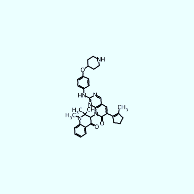 CC1=C(c2cc3cnc(Nc4ccc(OC5CCNCC5)cc4)nc3n(C3C(=O)c4ccccc4N(C)C3(C)C)c2=O)CCC1